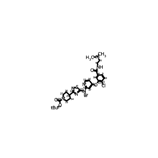 CN(C)CCNC(=O)c1ccc(Cl)c(Oc2ccnc(N(Br)c3nc(C4CCN(C(=O)OC(C)(C)C)CC4)ns3)c2)c1